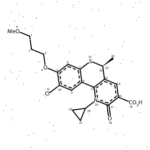 COCCCOc1cc2c(cc1Cl)-c1c(cc(C(=O)O)c(=O)n1C1CC1)[C@H](C)S2